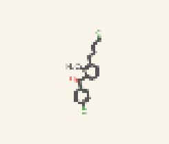 Cc1c(CC=CCCl)cccc1C(=O)c1ccc(Cl)cc1